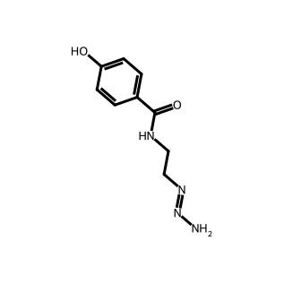 NN=NCCNC(=O)c1ccc(O)cc1